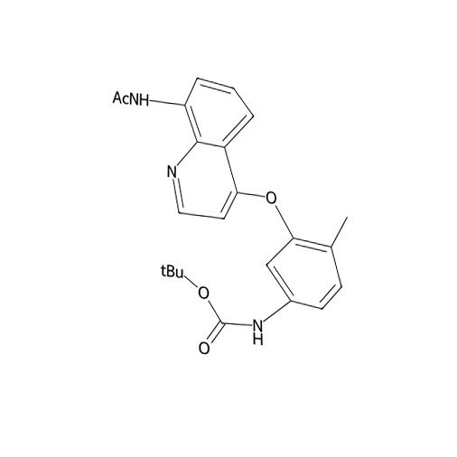 CC(=O)Nc1cccc2c(Oc3cc(NC(=O)OC(C)(C)C)ccc3C)ccnc12